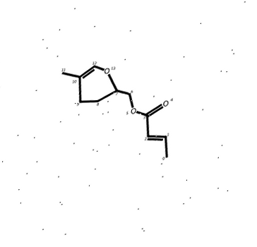 CC=CC(=O)OCC1CCC(C)=CO1